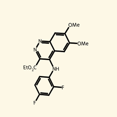 CCOC(=O)c1nnc2cc(OC)c(OC)cc2c1Nc1ccc(F)cc1F